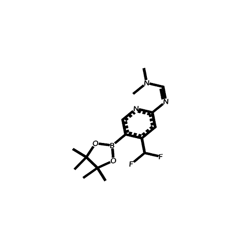 CN(C)/C=N\c1cc(C(F)F)c(B2OC(C)(C)C(C)(C)O2)cn1